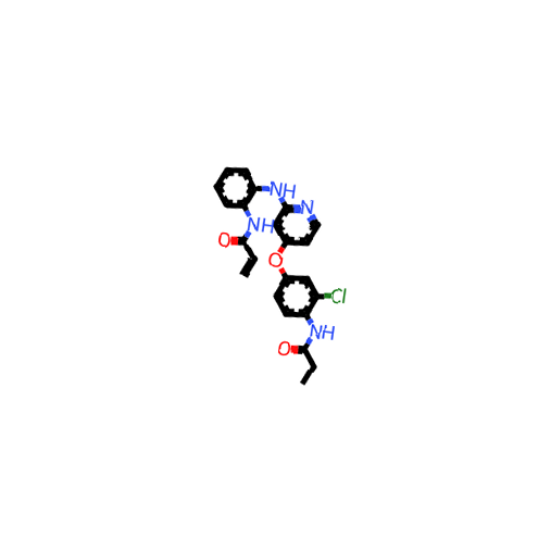 C=CC(=O)Nc1ccccc1Nc1cc(Oc2ccc(NC(=O)CC)c(Cl)c2)ccn1